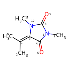 CC(C)=C1C(=O)N(C)C(=O)N1C